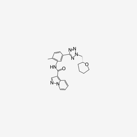 Cc1ccc(-c2nnn(C[C@H]3CCCCO3)n2)cc1NC(=O)c1cnn2ccccc12